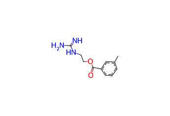 Cc1cccc(C(=O)OCCNC(=N)N)c1